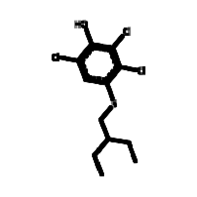 CCC(CC)CSc1cc(Cl)c(O)c(Cl)c1Cl